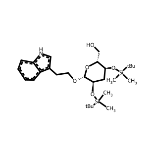 CC(C)(C)[Si](C)(C)O[C@H]1C[C@@H](O[Si](C)(C)C(C)(C)C)[C@H](OCCc2c[nH]c3ccccc23)O[C@@H]1CO